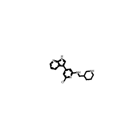 Clc1cc(-c2c[nH]c3ncccc23)cc(NCC2CCCNC2)n1